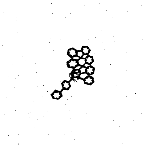 c1ccc(-c2ccc(-c3nc(-c4ccccc4)nc(-c4cccc5c4C4(c6ccccc6-c6ccccc64)c4ccccc4C54c5ccccc5-c5ccccc54)n3)cc2)cc1